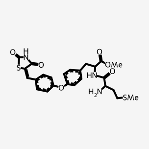 COC(=O)C(Cc1ccc(Oc2ccc(C=C3SC(=O)NC3=O)cc2)cc1)NC(=O)C(N)CCSC